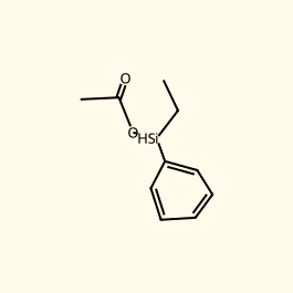 CC[SiH](OC(C)=O)c1ccccc1